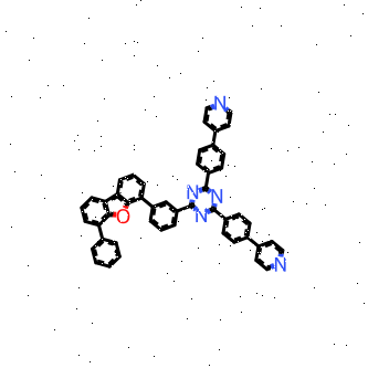 c1ccc(-c2cccc3c2oc2c(-c4cccc(-c5nc(-c6ccc(-c7ccncc7)cc6)nc(-c6ccc(-c7ccncc7)cc6)n5)c4)cccc23)cc1